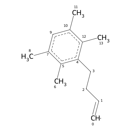 [CH]=CCCc1c(C)c(C)cc(C)c1C